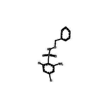 Nc1cc(Cl)cc(Cl)c1S(=O)(=O)NOCc1ccccc1